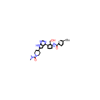 CN(C)C(=O)N1CC=C(c2cc3c(-c4cccc(NC(=O)c5ccc(C(C)(C)C)cc5)c4CO)ncnc3[nH]2)CC1